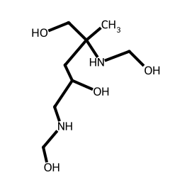 CC(CO)(CC(O)CNCO)NCO